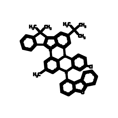 Cc1cc2c3c(c1)-n1c4c(c5cc(C(C)(C)C)cc(c51)B3c1ccc(Cl)cc1N2c1cccc2oc3ccccc3c12)C(C)(C)c1ccccc1-4